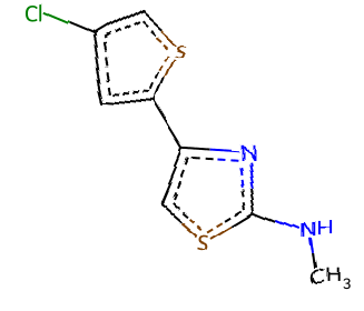 CNc1nc(-c2cc(Cl)cs2)cs1